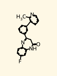 Cc1ncccc1-c1cccc(C2=Nc3ccc(F)cc3NC(=O)C2)c1